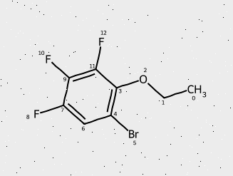 CCOc1c(Br)cc(F)c(F)c1F